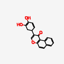 O=c1c(C2C=CC(O)=C(O)C2)coc2ccc3ccccc3c12